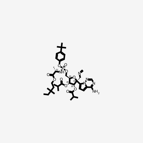 C=NC[C@@]1(c2ccc3c(N)ncnn23)O[C@H](COP(=O)(N[C@@H](C)C(=O)OCCC(C)(C)CC)Oc2ccc(C(C)(C)C)cc2)[C@@H](OC(=O)C(C)C)[C@H]1OC(=O)C(C)C